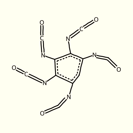 O=C=Nc1cc(N=C=O)c(N=C=O)c(N=C=O)c1N=C=O